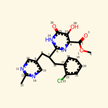 COC(=O)c1nc(C(Cc2cnc(C)nc2)Cc2ccccc2Cl)[nH]c(=O)c1O